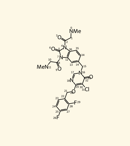 CNCC(=O)n1c(=O)n(C(=O)CNC)c2cc(Cn3cnc(OCc4ccc(F)cc4F)c(Cl)c3=O)ccc21